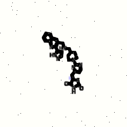 O=C1NC(=O)/C(=C/c2ccnc(N3CCC(CNCc4cc5ccccc5nc4-c4ccn[nH]4)CC3)n2)S1